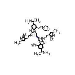 C=C(N)c1cc(CCC)c2c(c1)nc(NCCc1cc(C)nn1CC)n2C/C=C/Cn1c(NCCc2cc(C)nn2CC)nc2cc(C(=C)N)cc(CCN3CCOCC3)c21